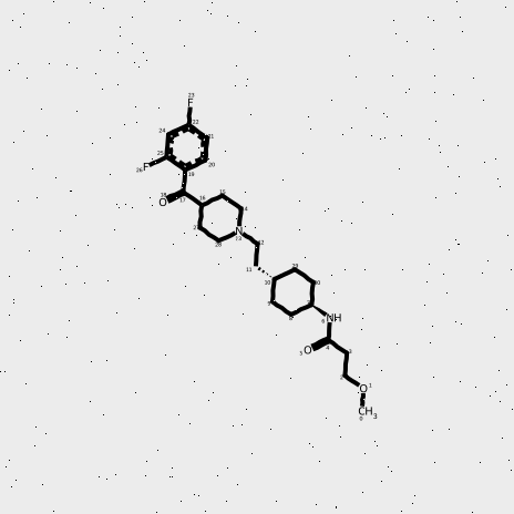 COCCC(=O)N[C@H]1CC[C@H](CCN2CCC(C(=O)c3ccc(F)cc3F)CC2)CC1